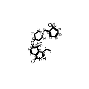 CCc1c[nH]c(=O)c2ccc(OC3CCN(Cc4ccccc4Cl)CC3)c(F)c12